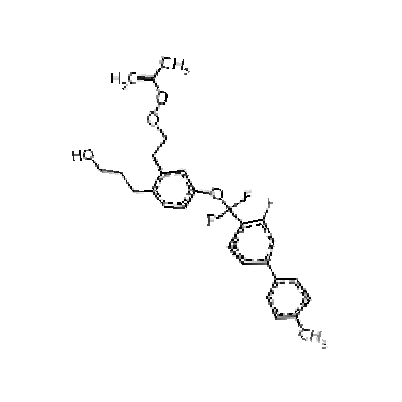 C=C(C)OOCCc1cc(OC(F)(F)c2ccc(-c3ccc(C)cc3)cc2F)ccc1CCCO